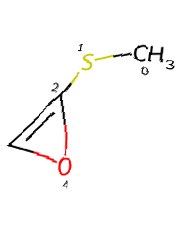 CSC1=CO1